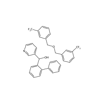 FC(F)(F)c1cccc(COCc2cccc(C(F)(F)F)c2)c1.OC(c1cccnc1)c1ccccc1-c1ccccc1